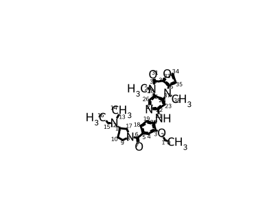 CCOc1cc(C(=O)N2CC[C@@H](N(CC)CC)C2)ccc1Nc1cc2c(cn1)N(C)C(=O)c1occc1N2C